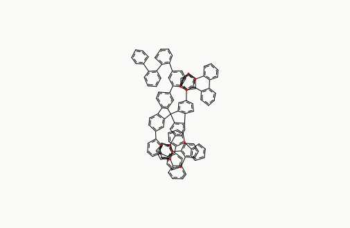 c1ccc(-c2ccccc2-c2ccccc2-c2cccc(-c3ccc4c(c3)C3(c5cc(-c6cccc(-c7ccccc7-c7ccccc7-c7ccccc7)c6)ccc5-4)c4cc(-c5cccc(-c6ccccc6-c6ccccc6-c6ccccc6)c5)ccc4-c4ccc(-c5cccc(-c6ccccc6-c6ccccc6-c6ccccc6)c5)cc43)c2)cc1